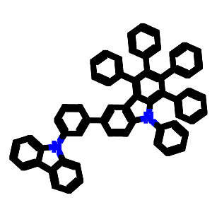 c1ccc(-c2c(-c3ccccc3)c(-c3ccccc3)c3c(c2-c2ccccc2)c2cc(-c4cccc(-n5c6ccccc6c6ccccc65)c4)ccc2n3-c2ccccc2)cc1